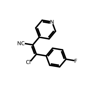 N#C/C(=C(\Cl)c1ccc(F)cc1)c1ccncc1